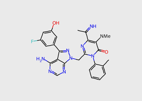 CNc1c(C(C)=N)nc(Cn2nc(-c3cc(O)cc(F)c3)c3c(N)ncnc32)n(-c2ccccc2C)c1=O